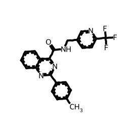 Cc1ccc(-c2nc(C(=O)NCc3ccc(C(F)(F)F)nc3)c3ccccc3n2)cc1